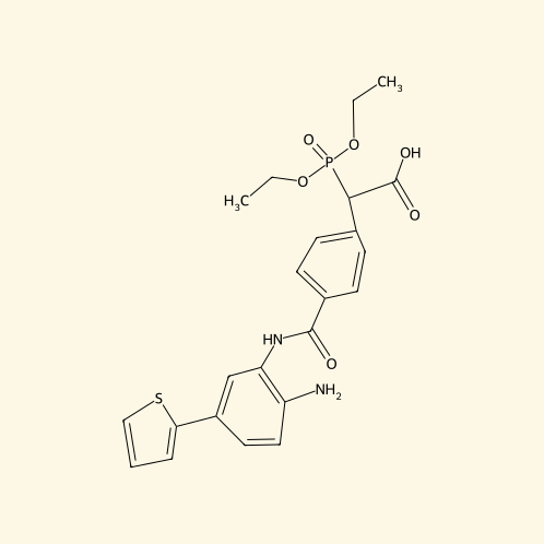 CCOP(=O)(OCC)C(C(=O)O)c1ccc(C(=O)Nc2cc(-c3cccs3)ccc2N)cc1